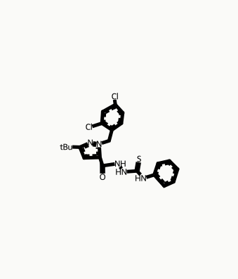 CC(C)(C)c1cc(C(=O)NNC(=S)Nc2ccccc2)n(Cc2ccc(Cl)cc2Cl)n1